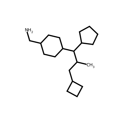 CC(CC1CCC1)C(C1CCCC1)C1CCC(CN)CC1